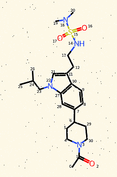 CC(=O)N1CCC(c2ccc3c(CCNS(=O)(=O)N(C)C)cn(CC(C)C)c3c2)CC1